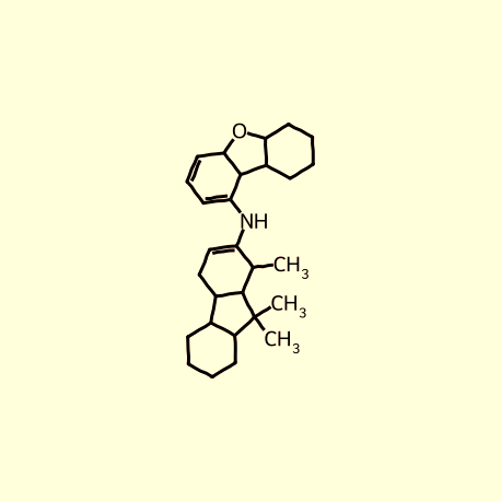 CC1C(NC2=CC=CC3OC4CCCCC4C23)=CCC2C3CCCCC3C(C)(C)C12